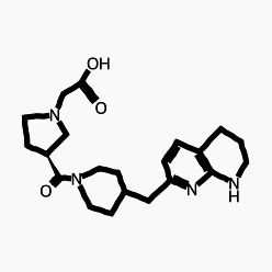 O=C(O)CN1CC[C@H](C(=O)N2CCC(Cc3ccc4c(n3)NCCC4)CC2)C1